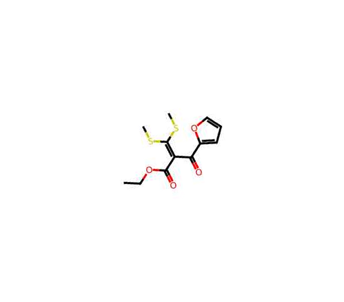 CCOC(=O)C(C(=O)c1ccco1)=C(SC)SC